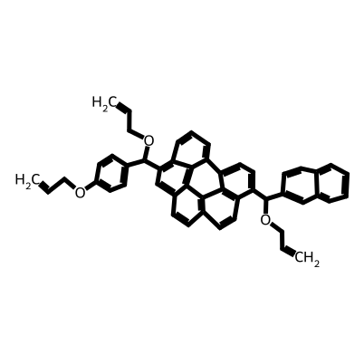 C=CCOc1ccc(C(OCC=C)c2cc3ccc4ccc5c(C(OCC=C)c6ccc7ccccc7c6)ccc6c7cccc2c7c3c4c56)cc1